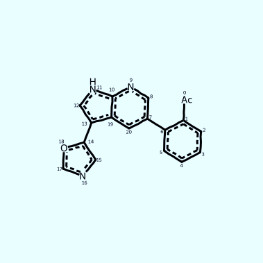 CC(=O)c1ccccc1-c1cnc2[nH]cc(-c3cnco3)c2c1